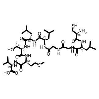 CSCC[C@H](NC(=O)[C@@H](NC(=O)[C@H](CC(C)C)NC(=O)[C@H](CC(C)C)NC(=O)CNC(=O)CNC(=O)[C@H](CC(C)C)NC(=O)[C@@H](N)CS)[C@@H](C)O)C(=O)N[C@H](C(=O)O)C(C)C